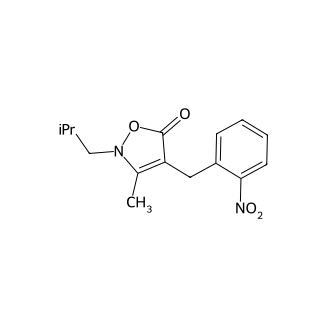 Cc1c(Cc2ccccc2[N+](=O)[O-])c(=O)on1CC(C)C